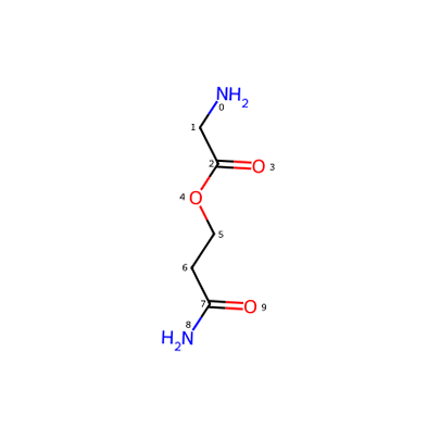 NCC(=O)OCCC(N)=O